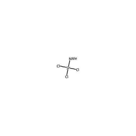 C[NH][Sn]([Cl])([Cl])[Cl]